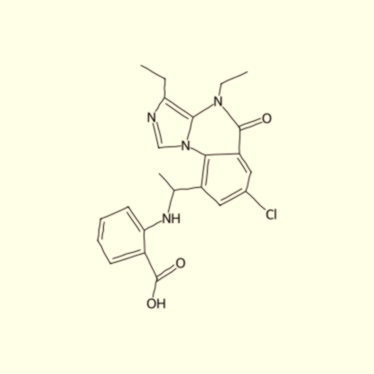 CCc1ncn2c3c(C(C)Nc4ccccc4C(=O)O)cc(Cl)cc3c(=O)n(CC)c12